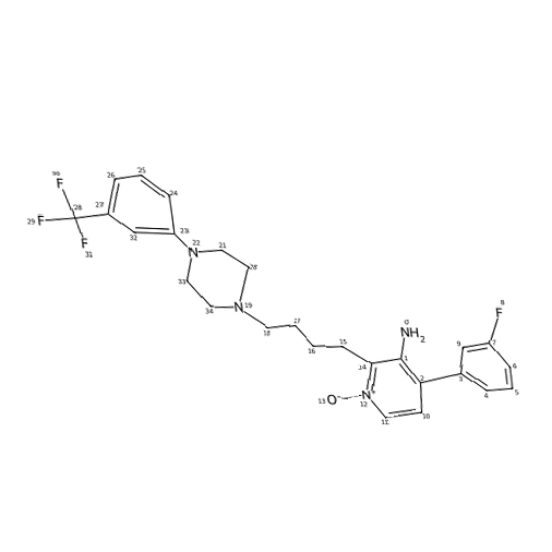 Nc1c(-c2cccc(F)c2)cc[n+]([O-])c1CCCCN1CCN(c2cccc(C(F)(F)F)c2)CC1